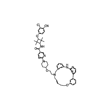 CC1(C)C(NC(=O)c2cnc(N3CCC(OCCN4C/C=C/CCOc5cccc(c5)-c5ccnc(n5)Nc5cccc(c5)C4)CC3)nc2)C(C)(C)C1Oc1ccc(C#N)c(Cl)c1